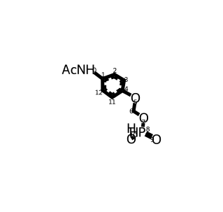 CC(=O)Nc1ccc(OCO[PH](=O)O)cc1